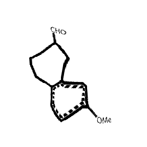 COc1ccc2c(c1)CC(C=O)CC2